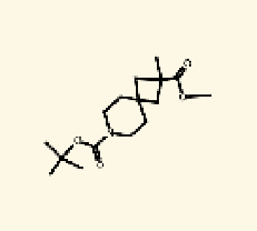 COC(=O)C1(C)CC2(CCN(C(=O)OC(C)(C)C)CC2)C1